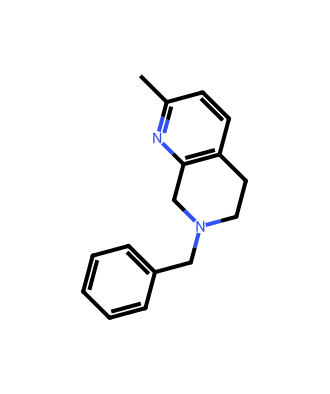 Cc1ccc2c(n1)CN(Cc1ccccc1)CC2